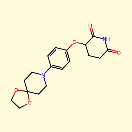 O=C1CCC(Oc2ccc(N3CCC4(CC3)OCCO4)cc2)C(=O)N1